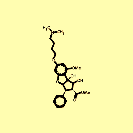 COC(=O)[C@H]1C(O)[C@@]2(O)c3c(OC)cc(OCCCCN(C)C)cc3OC2[C@@H]1c1ccccc1